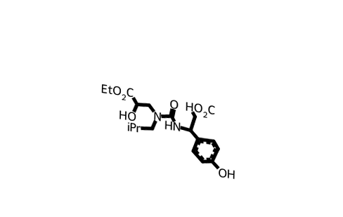 CCOC(=O)C(O)CN(CC(C)C)C(=O)NC(CC(=O)O)c1ccc(O)cc1